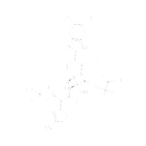 CC(C)(ON=C(C(=O)N[C@]1(C=S)C(=O)N2C(C(=O)O)=C(c3nc4cc(O)c(O)cc4[nH]3)CS[C@H]21)c1csc(N)n1)C(=O)O.O=C(O)C(F)(F)F